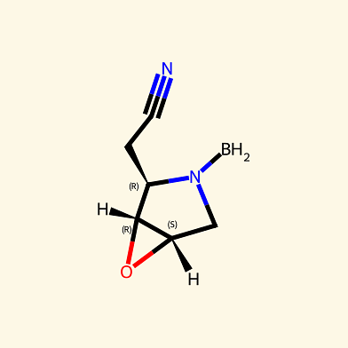 BN1C[C@@H]2O[C@@H]2[C@H]1CC#N